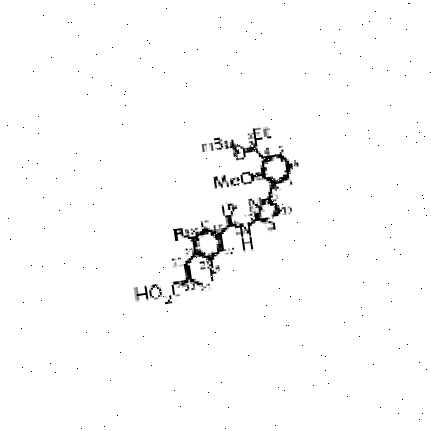 CCCCOC(CC)c1cccc(-c2csc(NC(=O)c3cc(F)c(C=C(C)C(=O)O)c(F)c3)n2)c1OC